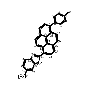 Cc1ccc(-c2ccc3ccc4c(-c5nc6ccc(C(C)(C)C)cc6o5)ccc5ccc2c3c54)cc1